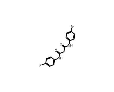 O=C(CC(=O)Nc1ccc(Br)cc1)Nc1ccc(Br)cc1